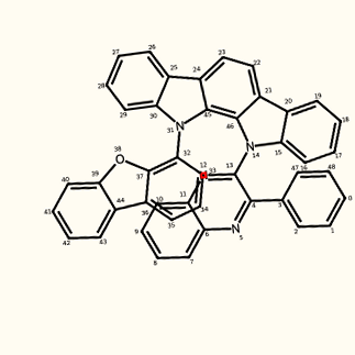 c1ccc(-c2nc3ccccc3nc2-n2c3ccccc3c3ccc4c5ccccc5n(-c5cccc6c5oc5ccccc56)c4c32)cc1